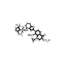 COc1c(-c2cc3c(s2)CCCC3NS(=O)(=O)c2c(C)noc2C)ccc2c(=O)c(C(=O)O)cn(C3CC3)c12